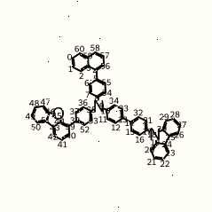 c1ccc2c(-c3ccc(N(c4ccc(-c5ccc(-n6c7ccccc7c7ccccc76)cc5)cc4)c4ccc(-c5cccc6c5oc5ccccc56)cc4)cc3)cccc2c1